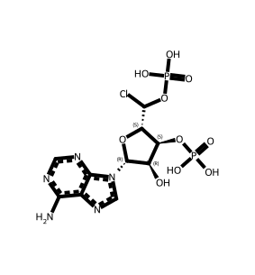 Nc1ncnc2c1ncn2[C@@H]1O[C@H](C(Cl)OP(=O)(O)O)[C@@H](OP(=O)(O)O)[C@H]1O